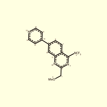 COCc1nc(NC(F)(F)F)c2ccc(-c3ccncc3)cc2n1